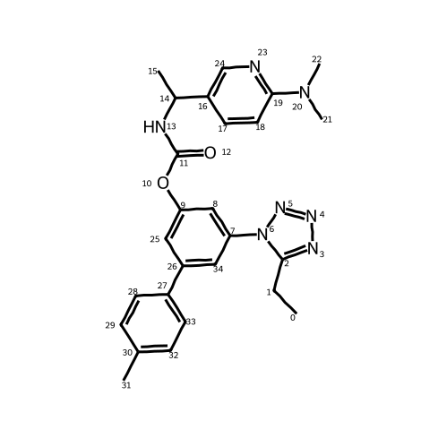 CCc1nnnn1-c1cc(OC(=O)NC(C)c2ccc(N(C)C)nc2)cc(-c2ccc(C)cc2)c1